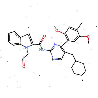 COc1cc(-c2nc(NC(=O)c3cc4ccccc4n3CC=O)ncc2CC2CCCCC2)c(OC)cc1C